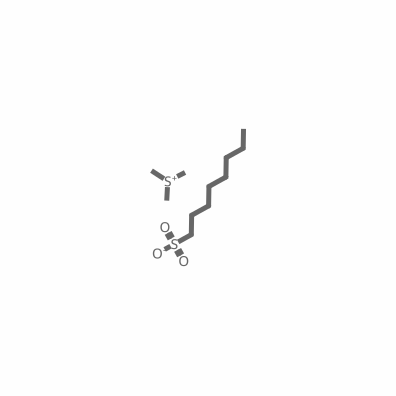 CCCCCCCCS(=O)(=O)[O-].C[S+](C)C